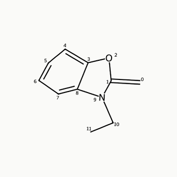 C=C1Oc2ccccc2N1CC